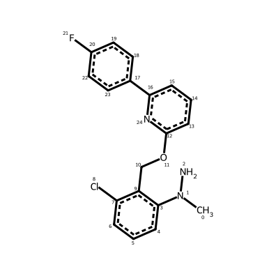 CN(N)c1cccc(Cl)c1COc1cccc(-c2ccc(F)cc2)n1